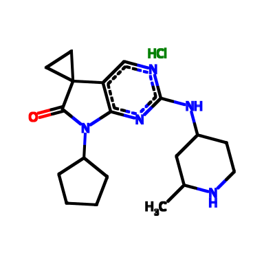 CC1CC(Nc2ncc3c(n2)N(C2CCCC2)C(=O)C32CC2)CCN1.Cl